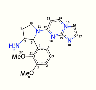 COc1cccc(C2C(N)CCN2c2ccn3ccnc3n2)c1OC